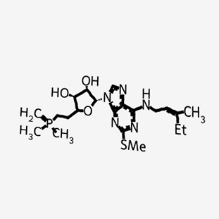 C=P(C)(C)CCC1O[C@@H](n2cnc3c(NC/C=C(/C)CC)nc(SC)nc32)[C@H](O)[C@@H]1O